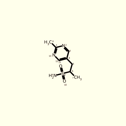 Cc1ncc(CC(C)S(N)(=O)=O)cn1